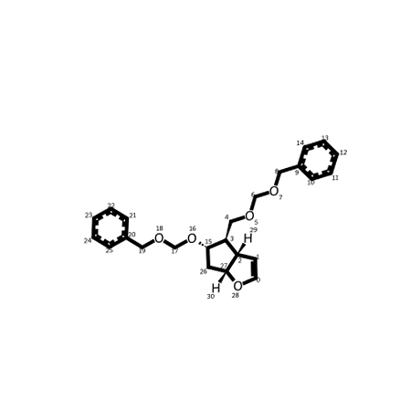 C1=C[C@H]2[C@H](COCOCc3ccccc3)[C@@H](OCOCc3ccccc3)C[C@H]2O1